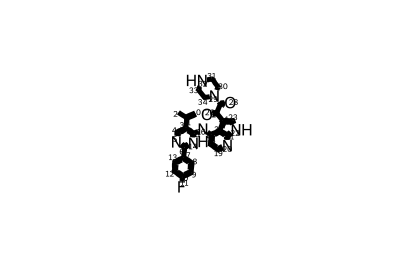 C=C(C)c1cnc(-c2ccc(F)cc2)nc1Nc1ccnc2[nH]cc(C(=O)C(=O)N3CCNCC3)c12